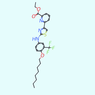 CCCCCCCCOc1ccc(Nc2nc(-c3cccc(C(=O)OCC)n3)cs2)cc1C(F)(F)F